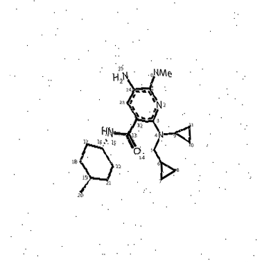 CNc1nc(N(CC2CC2)C2CC2)c(C(=O)N[C@H]2CC[C@H](C)CC2)cc1N